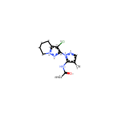 CCCCCCC(=O)Nc1c(C#N)cnn1-c1nn2c(c1Cl)CCCC2